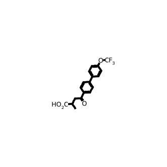 CC(CC(=O)c1ccc(-c2ccc(OC(F)(F)F)cc2)cc1)C(=O)O